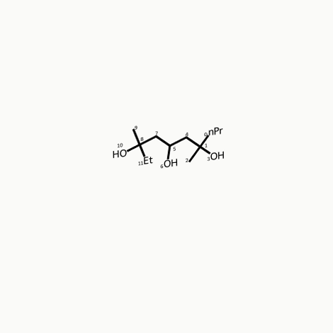 CCCC(C)(O)CC(O)CC(C)(O)CC